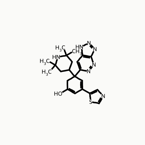 CC1(C)CC(C2(c3cc4[nH]nnc4nn3)C=C(c3cncs3)C=C(O)C2)CC(C)(C)N1